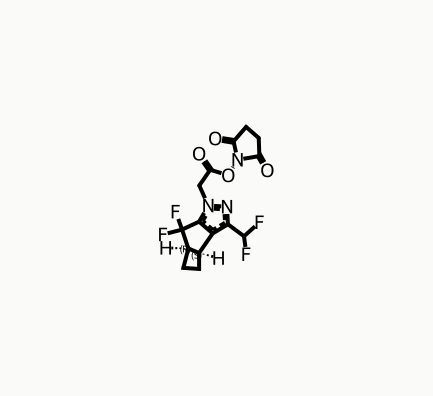 O=C(Cn1nc(C(F)F)c2c1C(F)(F)[C@@H]1CC[C@H]21)ON1C(=O)CCC1=O